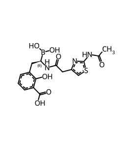 CC(=O)Nc1nc(CC(=O)N[C@@H](Cc2cccc(C(=O)O)c2O)B(O)O)cs1